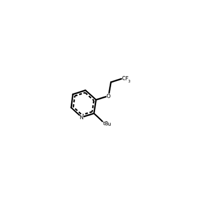 CC(C)(C)c1ncccc1OCC(F)(F)F